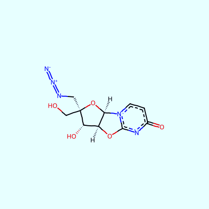 [N-]=[N+]=NC[C@]1(CO)O[C@@H]2[C@@H](Oc3nc(=O)ccn32)[C@@H]1O